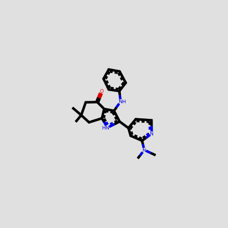 CN(C)c1cc(-c2[nH]c3c(c2Nc2ccccc2)C(=O)CC(C)(C)C3)ccn1